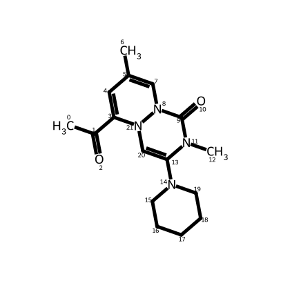 CC(=O)C1=CC(C)=CN2C(=O)N(C)C(N3CCCCC3)=CN12